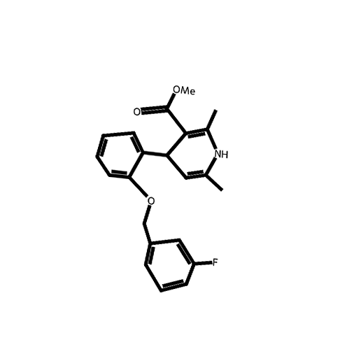 COC(=O)C1=C(C)NC(C)=CC1c1ccccc1OCc1cccc(F)c1